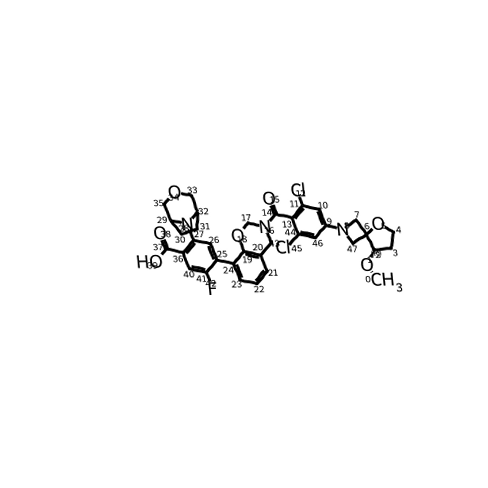 CO[C@@H]1CCOC12CN(c1cc(Cl)c(C(=O)N3COc4c(cccc4-c4cc(N5C6CCC5COC6)c(C(=O)O)cc4F)C3)c(Cl)c1)C2